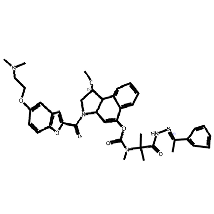 CC[C@@H]1CN(C(=O)c2cc3cc(OCCN(C)C)ccc3o2)C2C=C(OC(=O)N(C)C(C)(C)C(=O)N/N=C(\C)c3ccccc3)c3ccccc3C21